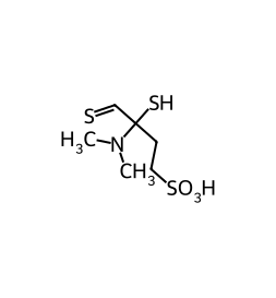 CN(C)C(S)(C=S)CCS(=O)(=O)O